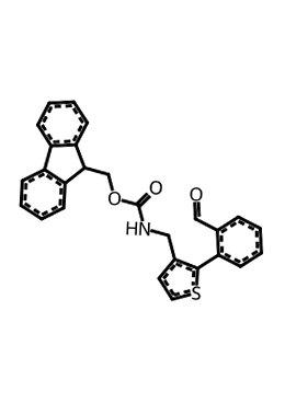 O=Cc1ccccc1-c1sccc1CNC(=O)OCC1c2ccccc2-c2ccccc21